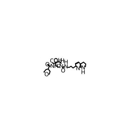 O=C(NC(C(=O)O)C1(O)CCN(C(=O)NCCCc2ccc3c(n2)NCCC3)CC1)C1CCOCC1